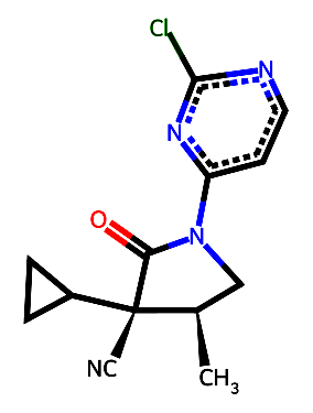 C[C@@H]1CN(c2ccnc(Cl)n2)C(=O)[C@@]1(C#N)C1CC1